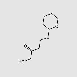 O=C(CO)CCOC1CCCCO1